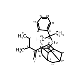 CCC(C)C(=O)OC1C2CC3CC1CC(C2)C3OC(C)(C)c1ccccc1